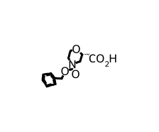 O=C(O)C[C@@H]1CN(C(=O)OCc2ccccc2)CCO1